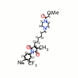 COCC(=O)N1CCN(CCCCCCC2=C(C)C(=O)N(c3ccc(C#N)c(C(F)(F)F)c3)C2=O)CC1